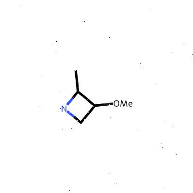 COC1C[N]C1C